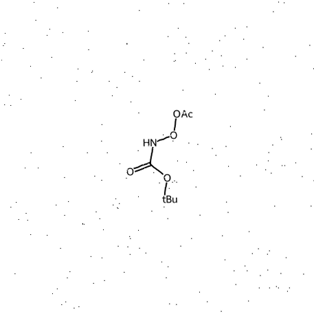 CC(=O)OONC(=O)OC(C)(C)C